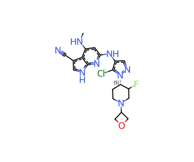 CNc1cc(Nc2cnn([C@H]3CCN(C4COC4)CC3F)c2Cl)nc2[nH]cc(C#N)c12